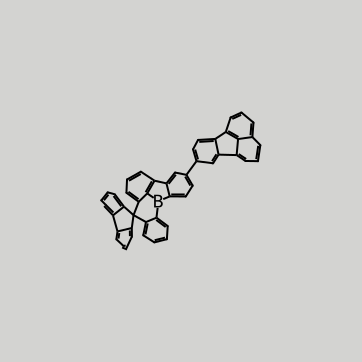 c1ccc2c(c1)B1c3ccc(-c4ccc5c(c4)-c4cccc6cccc-5c46)cc3-c3cccc(c31)C21c2ccccc2-c2ccccc21